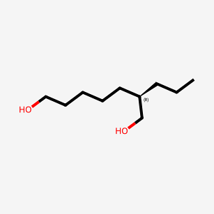 CCC[C@@H](CO)CCCCCO